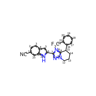 N#Cc1ccc2cc(-c3nc4n(n3)CCCC4c3ccccc3C(F)(F)F)[nH]c2c1